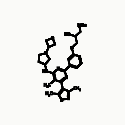 CNCC(O)COc1cccc(-c2nc(NC3CCN(C4COC4)C3)c(C)c(-c3c(C)noc3C)n2)c1